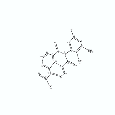 Cc1cc(N)c(O)c(N2C(=O)c3cccc4c([N+](=O)[O-])ccc(c34)C2=O)c1